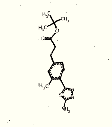 Cc1cc(CCC(=O)OC(C)(C)C)ccc1-c1nnc(N)s1